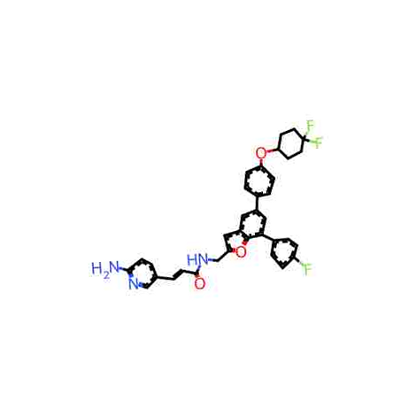 Nc1ccc(/C=C/C(=O)NCc2cc3cc(-c4ccc(OC5CCC(F)(F)CC5)cc4)cc(-c4ccc(F)cc4)c3o2)cn1